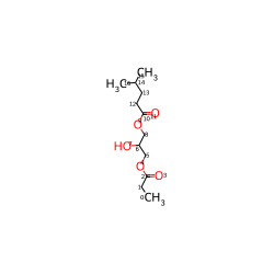 CCC(=O)OCC(O)COC(=O)CCC(C)C